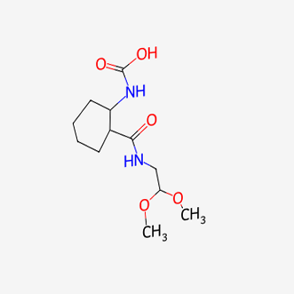 COC(CNC(=O)C1CCCCC1NC(=O)O)OC